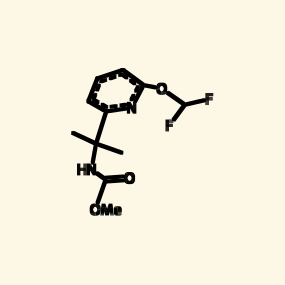 COC(=O)NC(C)(C)c1cccc(OC(F)F)n1